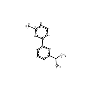 CC(C)c1cccc(-c2ccnc(N)c2)c1